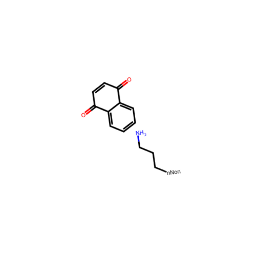 CCCCCCCCCCCCN.O=C1C=CC(=O)c2ccccc21